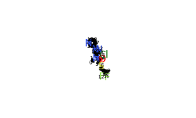 CCN(C(=O)CSCC1CC1(F)F)c1cn(-c2cccnc2)nc1Cl